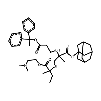 CCC(C)(BCC(C)(BCCC(=O)OC(C)(c1ccccc1)c1ccccc1)C(=O)OC12CC3CC(CC(C3)C1)C2)C(=O)OCCN(C)C